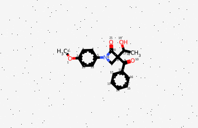 COc1ccc(N2CC(C(=O)c3ccccc3)(C(C)O)C2=O)cc1